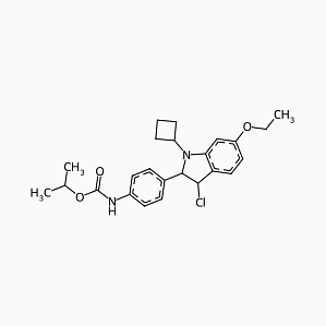 CCOc1ccc2c(c1)N(C1CCC1)C(c1ccc(NC(=O)OC(C)C)cc1)C2Cl